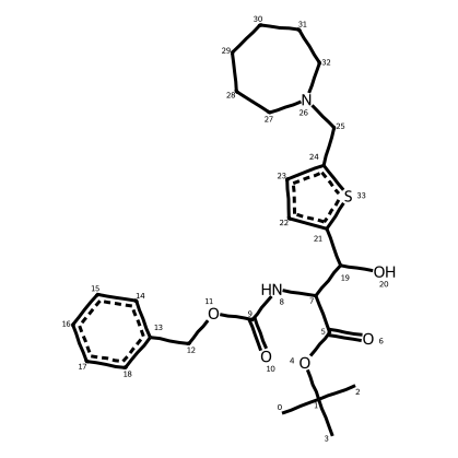 CC(C)(C)OC(=O)C(NC(=O)OCc1ccccc1)C(O)c1ccc(CN2CCCCCC2)s1